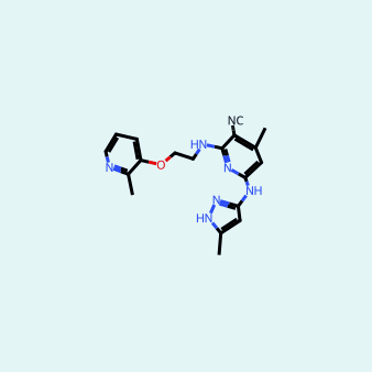 [C-]#[N+]c1c(C)cc(Nc2cc(C)[nH]n2)nc1NCCOc1cccnc1C